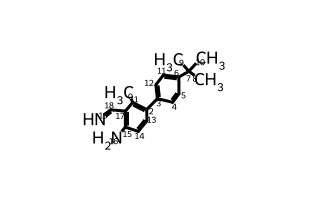 Cc1c(-c2ccc(C(C)(C)C)cc2)ccc(N)c1C=N